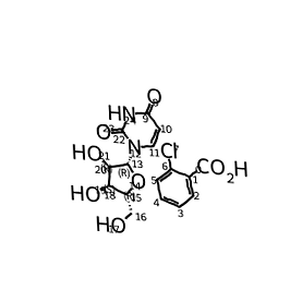 O=C(O)c1ccccc1Cl.O=c1ccn([C@@H]2O[C@H](CO)[C@@H](O)[C@H]2O)c(=O)[nH]1